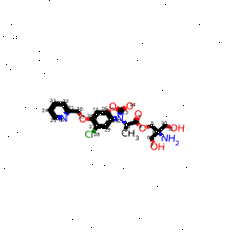 CC(C(=O)OCC(N)(CO)CO)n1c(=O)oc2cc(OCc3ccccn3)c(Cl)cc21